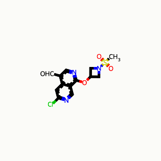 CS(=O)(=O)N1CC(Oc2ncc(C=O)c3cc(Cl)ncc23)C1